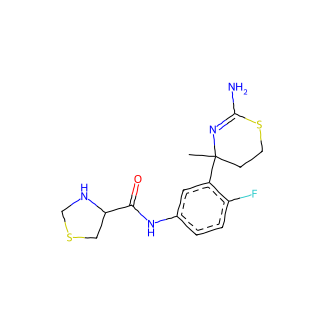 CC1(c2cc(NC(=O)C3CSCN3)ccc2F)CCSC(N)=N1